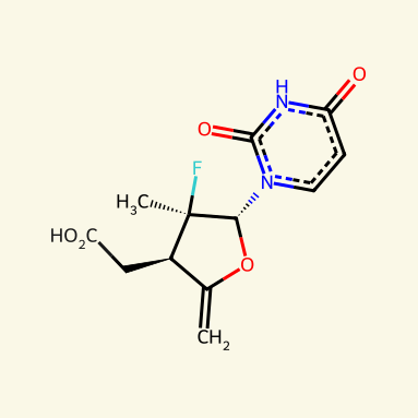 C=C1O[C@@H](n2ccc(=O)[nH]c2=O)[C@](C)(F)[C@@H]1CC(=O)O